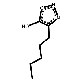 CCCCCc1nnoc1O